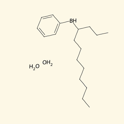 CCCCCCCCC(Bc1ccccc1)CCC.O.O